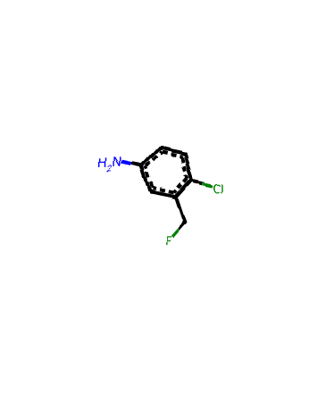 Nc1ccc(Cl)c(CF)c1